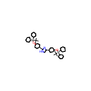 CC(C)(C)[Si](Oc1ccc(-c2c[nH]c(-c3ccc(O[Si](c4ccccc4)(c4ccccc4)C(C)(C)C)cc3)n2)cc1)(c1ccccc1)c1ccccc1